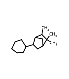 CC1C2CC(CC2C2CCCCC2)C1(C)C